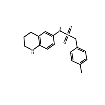 Cc1ccc(CS(=O)(=O)Nc2ccc3c(c2)CCCN3)cc1